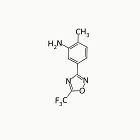 Cc1ccc(-c2noc(C(F)(F)F)n2)cc1N